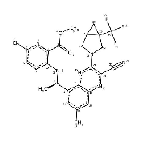 COC(=O)c1nc(Cl)ccc1N[C@H](C)c1cc(C)cc2nc(C#N)c(N3CC4CC4(C(F)(F)F)C3)nc12